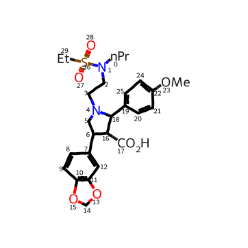 CCCN(CCN1CC(c2ccc3c(c2)OCO3)C(C(=O)O)C1c1ccc(OC)cc1)S(=O)(=O)CC